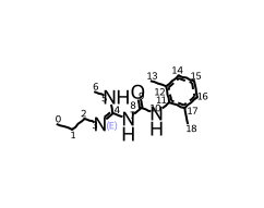 CCC/N=C(\NC)NC(=O)Nc1c(C)cccc1C